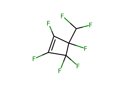 FC1=C(F)C(F)(C(F)F)C1(F)F